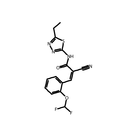 CCc1nnc(NC(=O)/C(C#N)=C\c2ccccc2OC(F)F)s1